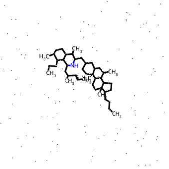 CC=CC(C)CC1NC(CC2CCC3(C)C(C2)CC(C)C2C4CCC(CCCC)C4(C)CCC23)C(C)C2CCC(C)C(CCC)C12